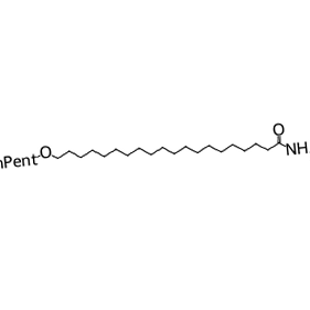 CCCCCOCCCCCCCCCCCCCCCCCCCC(N)=O